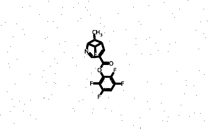 CC1C2C=C(C(=O)Oc3c(F)c(F)cc(F)c3F)C=NC1C2F